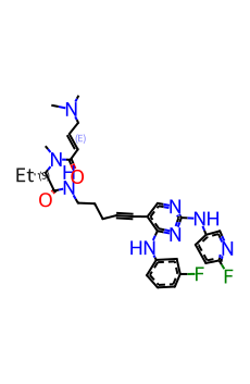 CC[C@@H](C(=O)NCCCC#Cc1cnc(Nc2ccc(F)nc2)nc1Nc1cccc(F)c1)N(C)C(=O)/C=C/CN(C)C